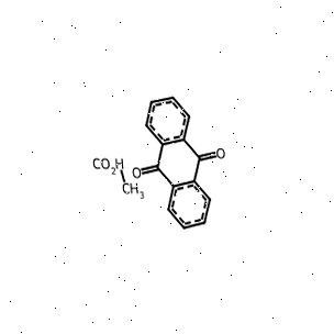 CC(=O)O.O=C1c2ccccc2C(=O)c2ccccc21